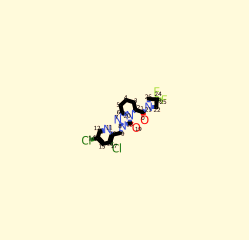 O=C(C1CCCc2nn(Cc3ncc(Cl)cc3Cl)c(=O)n21)N1CC(F)(F)C1